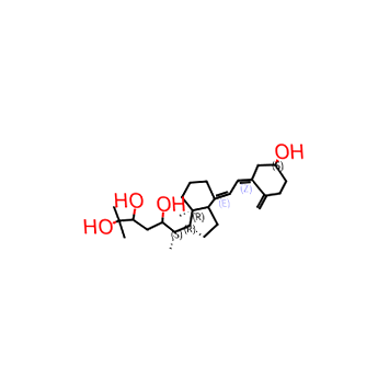 C=C1CC[C@H](O)C/C1=C/C=C1\CCC[C@@]2(C)C1CC[C@@H]2[C@H](C)C(O)CC(O)C(C)(C)O